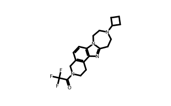 O=C(N1CCc2c(ccc3c2nc2n3CCN(C3CCC3)CC2)C1)C(F)(F)F